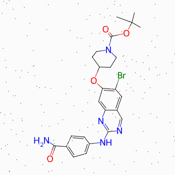 CC(C)(C)OC(=O)N1CCC(Oc2cc3nc(Nc4ccc(C(N)=O)cc4)ncc3cc2Br)CC1